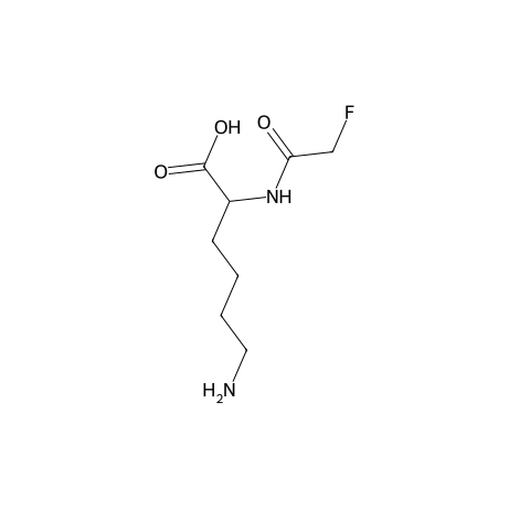 NCCCCC(NC(=O)CF)C(=O)O